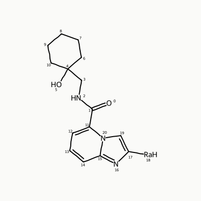 O=C(NCC1(O)CCCCC1)c1cccc2n[c]([RaH])cn12